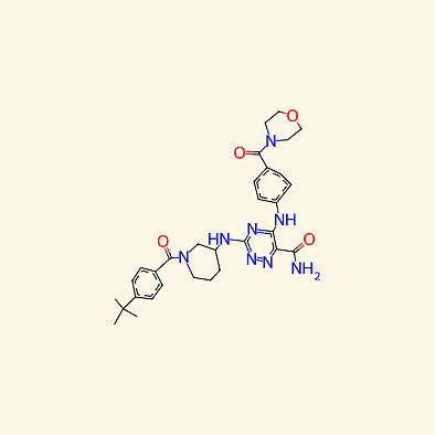 CC(C)(C)c1ccc(C(=O)N2CCCC(Nc3nnc(C(N)=O)c(Nc4ccc(C(=O)N5CCOCC5)cc4)n3)C2)cc1